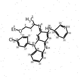 CCOCCC(C)/N=c1\cc2n(-c3ccc(Cl)cc3)c3ccccc3nc-2cc1Nc1cccnc1